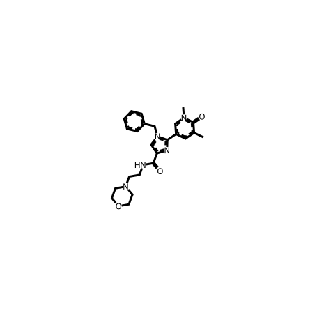 Cc1cc(-c2nc(C(=O)NCCN3CCOCC3)cn2Cc2ccccc2)cn(C)c1=O